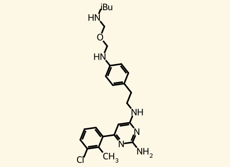 CCC(C)NCOCNc1ccc(CCNc2cc(-c3cccc(Cl)c3C)nc(N)n2)cc1